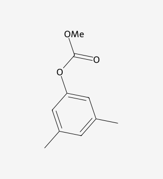 COC(=O)Oc1cc(C)cc(C)c1